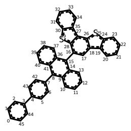 c1ccc(-c2ccc(-c3c4ccccc4c(-c4cc5c6ccccc6sc5c5c4sc4ccccc45)c4ccccc34)cc2)cc1